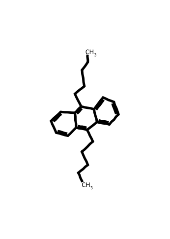 CCCCCc1c2ccccc2c(CCCCC)c2ccccc12